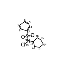 O=S(=O)(c1ccccc1)N(Cl)C1CCCCC1